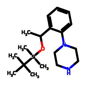 CC(O[Si](C)(C)C(C)(C)C)c1ccccc1N1CCNCC1